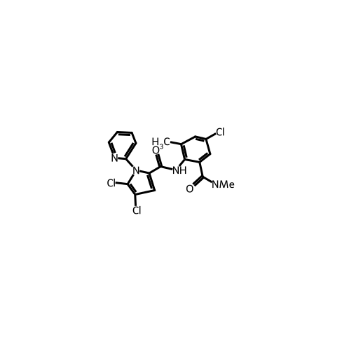 CNC(=O)c1cc(Cl)cc(C)c1NC(=O)c1cc(Cl)c(Cl)n1-c1ccccn1